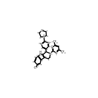 FC(F)(F)c1cc(C(F)(F)F)nc(N2CCc3c([nH]c4ccc(Cl)cc34)C2c2cnc(N3CCOCC3)nc2)n1